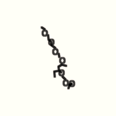 CCOCCOCCOCCOC(C)CC(CC)OCCOC(C)=O